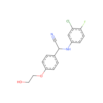 N#CC(Nc1ccc(F)c(Cl)c1)c1ccc(OCCO)cc1